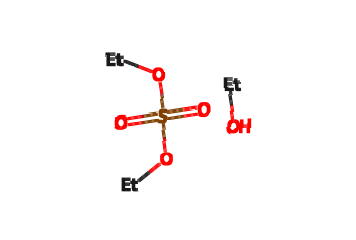 CCO.CCOS(=O)(=O)OCC